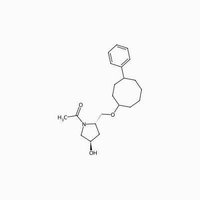 CC(=O)N1C[C@H](O)C[C@H]1COC1CCCCC(c2ccccc2)CC1